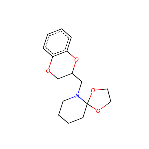 c1ccc2c(c1)OCC(CN1CCCCC13OCCO3)O2